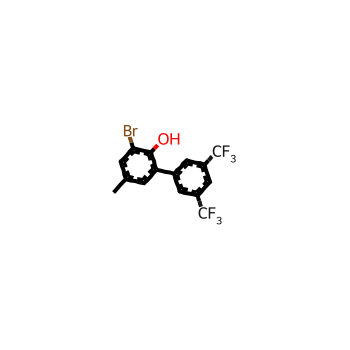 Cc1cc(Br)c(O)c(-c2cc(C(F)(F)F)cc(C(F)(F)F)c2)c1